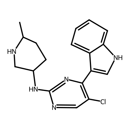 CC1CCC(Nc2ncc(Cl)c(-c3c[nH]c4ccccc34)n2)CN1